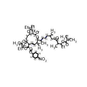 CCOC(C)OC1(C)CCC(O[Si](CC)(CC)CC)CC(=O)OC(/C(C)=C/C=C/C(C)CC2OC2C(C)C(CC)OC(=O)N(C)C)C(C)/C=C/C1C(=O)OOc1ccc([N+](=O)[O-])cc1